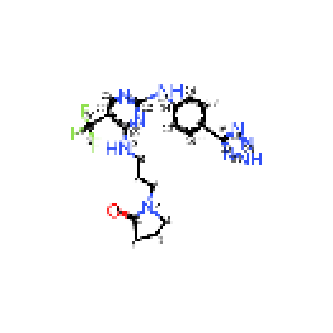 O=C1CCCN1CCCNc1nc(Nc2ccc(-c3nn[nH]n3)cc2)ncc1C(F)(F)F